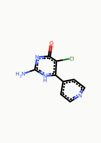 Nc1nc(=O)c(Cl)c(-c2ccncc2)[nH]1